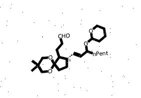 CCCCCC(C=C[C@@H]1CCC2(OCC(C)(C)CO2)C1CCC=O)OC1CCCCO1